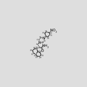 NC(=O)C(CN1CCN(c2ccc([N+](=O)[O-])cc2)CC1)c1cccc2ccccc12